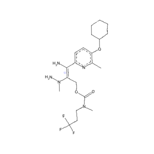 Cc1nc(/C(N)=C(\COC(=O)N(C)CCC(F)(F)F)N(C)N)ccc1OC1CCCCC1